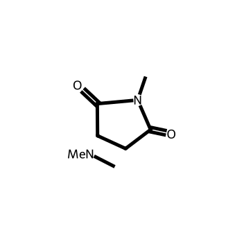 CN1C(=O)CCC1=O.CNC